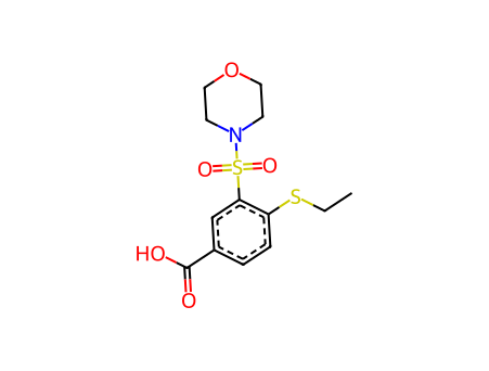 CCSc1ccc(C(=O)O)cc1S(=O)(=O)N1CCOCC1